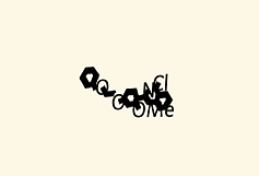 COc1cc(OCCOCc2ccccc2)ccc1-c1cc2ccccc2c(Cl)n1